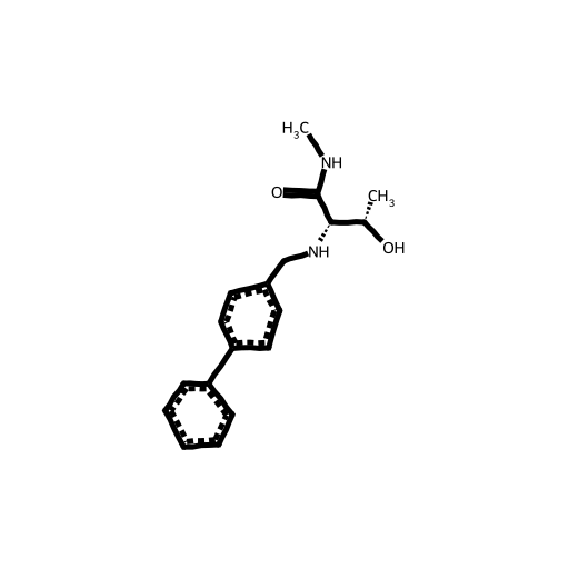 CNC(=O)[C@@H](NCc1ccc(-c2ccccc2)cc1)[C@H](C)O